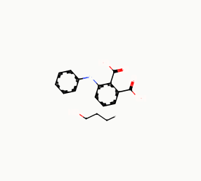 CCCCO.O=C(O)c1cccc(Nc2ccccc2)c1C(=O)O